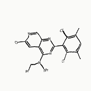 CCCN(CC(C)C)c1nc(-c2c(Cl)c(C)cc(C)c2Cl)nc2cnc(Cl)cc12